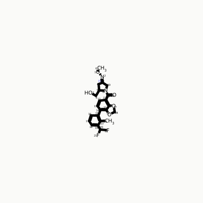 CO/N=C1\CC(CO)N(C(=O)c2ccc(-c3cccc(C(F)F)c3C)c3c2OCO3)C1